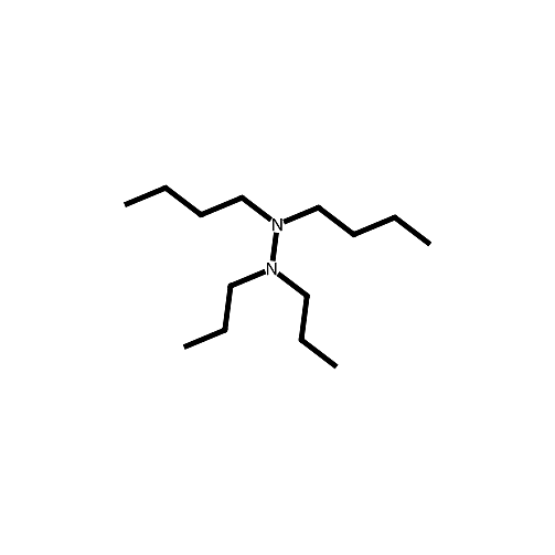 CCCCN(CCCC)N(CCC)CCC